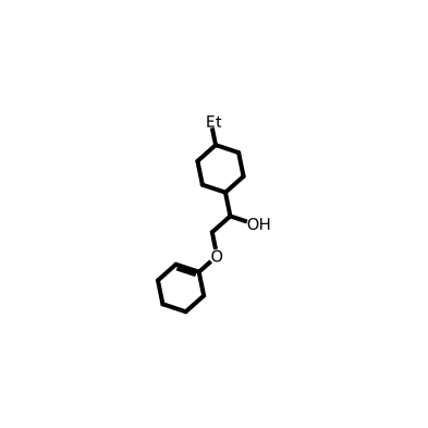 CCC1CCC(C(O)COC2=CCCCC2)CC1